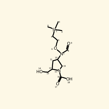 C[Si](C)(C)CCON(C=O)C1CC(CO)N(C(=O)O)C1